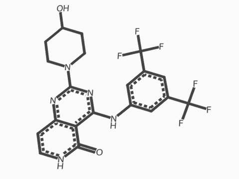 O=c1[nH]ccc2nc(N3CCC(O)CC3)nc(Nc3cc(C(F)(F)F)cc(C(F)(F)F)c3)c12